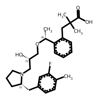 Cc1ccc(C[C@@H]2CCCN2C[C@H](O)CO[C@H](C)c2ccccc2CC(C)(C)C(=O)O)cc1F